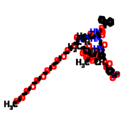 C=CCOC(=O)[C@H]1O[C@@H](Oc2ccc(COC(=O)Oc3ccc([N+](=O)[O-])cc3)cc2CNC(=O)CCNC(=O)[C@H](CCCC(=O)N2C[C@@H]3C[C@H]2CN3C(=O)CCOCCOCCOCCOCCOCCOCCOCCOCCOCCOCCOCCOC)NC(=O)OCC2c3ccccc3-c3ccccc32)[C@H](OC(C)=O)[C@@H](OC(C)=O)[C@@H]1OC(C)=O